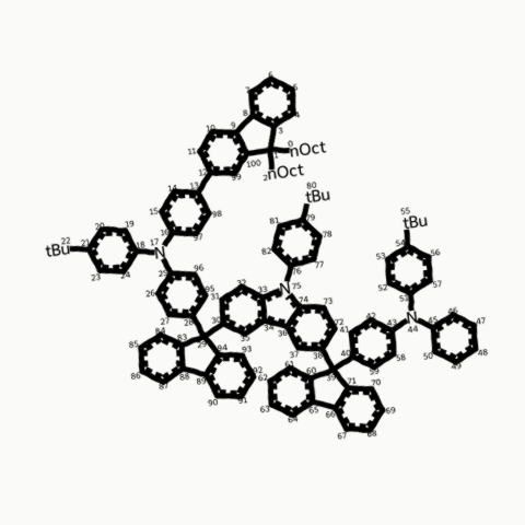 CCCCCCCCC1(CCCCCCCC)c2ccccc2-c2ccc(-c3ccc(N(c4ccc(C(C)(C)C)cc4)c4ccc(C5(c6ccc7c(c6)c6cc(C8(c9ccc(N(c%10ccccc%10)c%10ccc(C(C)(C)C)cc%10)cc9)c9ccccc9-c9ccccc98)ccc6n7-c6ccc(C(C)(C)C)cc6)c6ccccc6-c6ccccc65)cc4)cc3)cc21